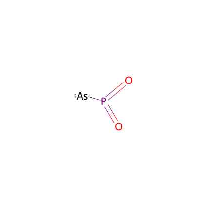 O=P(=O)[As]